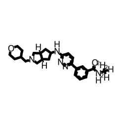 [2H]C([2H])([2H])NC(=O)c1cccc(-c2ccc(NC3C[C@@H]4CN(CC5CCOCC5)C[C@@H]4C3)nn2)c1